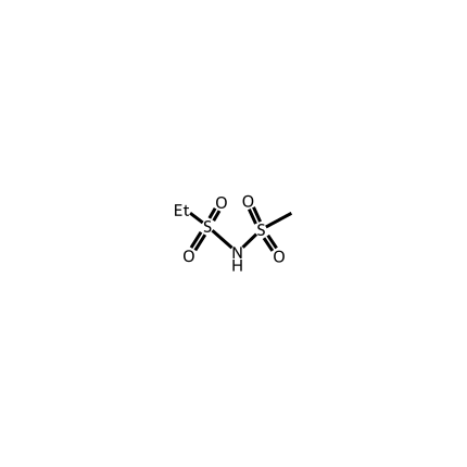 CCS(=O)(=O)NS(C)(=O)=O